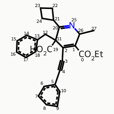 CCOC(=O)C1=C(C#Cc2ccccc2)C(Cc2ccccc2)(C(=O)O)C(C2CCC2)=NC1C